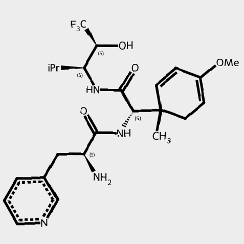 COC1=CCC(C)([C@H](NC(=O)[C@@H](N)Cc2cccnc2)C(=O)N[C@@H](C(C)C)[C@H](O)C(F)(F)F)C=C1